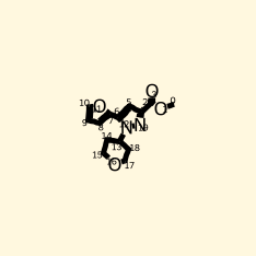 COC(=O)c1cc(-c2ccco2)n(C2CCOCC2)n1